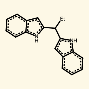 CCC(c1cc2ccccc2[nH]1)c1cc2ccccc2[nH]1